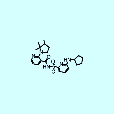 CC1CCN(c2ncccc2C(=O)NS(=O)(=O)c2cccc(NC3CCCC3)n2)C1(C)C